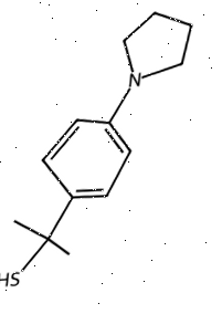 CC(C)(S)c1ccc(N2CCCC2)cc1